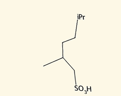 CC(C)CCC(C)CS(=O)(=O)O